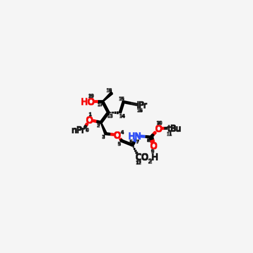 CCCO[C@H](COC[C@H](NC(=O)OC(C)(C)C)C(=O)O)[C@@H](CCC(C)C)[C@H](C)O